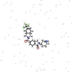 O=C(c1ccc2c(c1)CN(C1CCCNC1)C2=O)N1Cc2ccc(C(F)(F)F)cc2C1